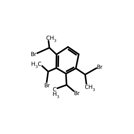 CC(Br)c1ccc(C(C)Br)c(C(C)Br)c1C(C)Br